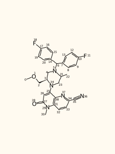 COC[C@H]1CN(C(c2ccc(F)cc2)c2ccc(F)cc2)C(C)CN1c1cc(=O)n(C)c2ccc(C#N)nc12